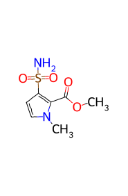 COC(=O)c1c(S(N)(=O)=O)ccn1C